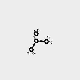 COc1ccc(C#Cc2cc(C#Cc3ccc(OC)c(OC)c3)cc(Sc3ccc([O])c(C)c3)c2)cc1OC